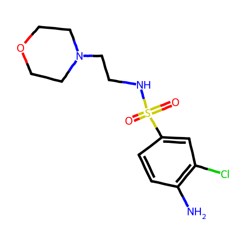 Nc1ccc(S(=O)(=O)NCCN2CCOCC2)cc1Cl